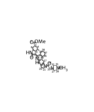 COC(=O)c1ccc2c(c1)NC(=O)/C2=C(\Nc1ccc2c(ccn2C(=O)CN2CCN(C)CC2)c1)c1ccccc1